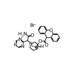 NC(=O)C(c1ncncn1)[N+]12CCC(CC1)[C@@H](OC(=O)C1c3ccccc3Oc3ccccc31)C2.[Br-]